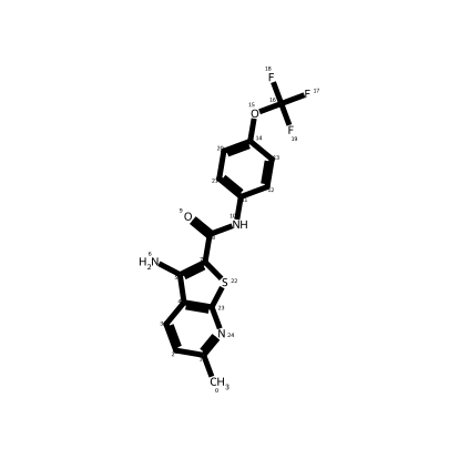 Cc1ccc2c(N)c(C(=O)Nc3ccc(OC(F)(F)F)cc3)sc2n1